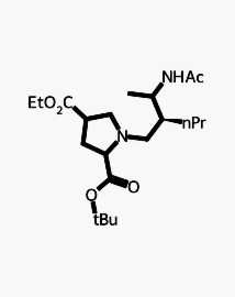 CCC[C@@H](CN1CC(C(=O)OCC)CC1C(=O)OC(C)(C)C)C(C)NC(C)=O